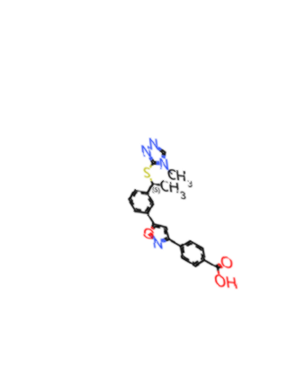 C[C@H](Sc1nncn1C)c1cccc(-c2cc(-c3ccc(C(=O)O)cc3)no2)c1